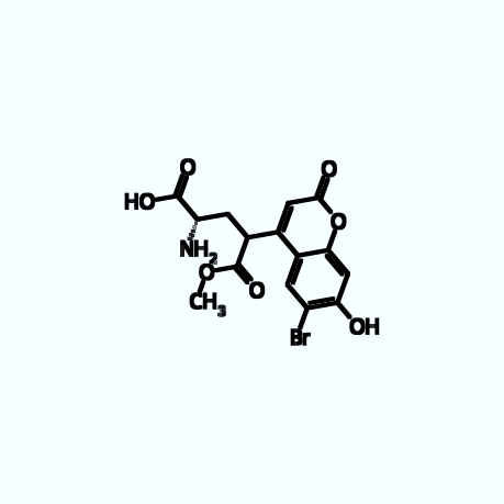 COC(=O)C(C[C@H](N)C(=O)O)c1cc(=O)oc2cc(O)c(Br)cc12